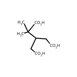 CC(C)(C(=O)O)C(CC(=O)O)CC(=O)O